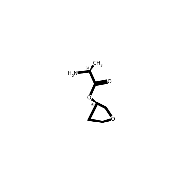 C[C@H](N)C(=O)O[C@@H]1CCOC1